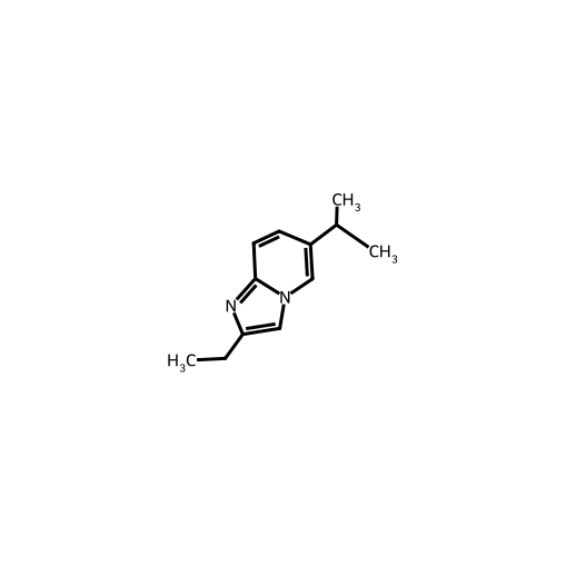 CCc1cn2cc(C(C)C)ccc2n1